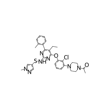 CCc1c(Oc2cccc(N3CCN(C(C)=O)CC3)c2Cl)nc(NSc2cnn(C)c2)nc1-c1ccccc1C